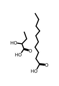 CCC(O)C(=O)O.CCCCCCCCCC(=O)O